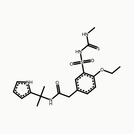 CCOc1ccc(CC(=O)NC(C)(C)c2ccc[nH]2)cc1S(=O)(=O)NC(=S)NC